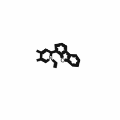 C=CN1C=C(C)C(C)=CC1c1cccc2c1oc1ccccc12